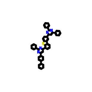 c1ccc(-c2ccc(-c3cc(-c4cccc5c4sc4ccc(-c6cc(-c7ccccc7)nc(-c7ccccc7)n6)cc45)nc(-c4ccccc4)n3)cc2)cc1